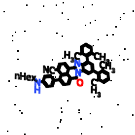 CCCCCCNc1ccc(-c2ccc3c(=O)n4c5cc(-c6c(C)cccc6C)cc(-c6c(C)cccc6C)c5nc4c4ccc(C#N)c2c34)cc1